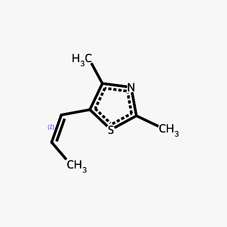 C/C=C\c1sc(C)nc1C